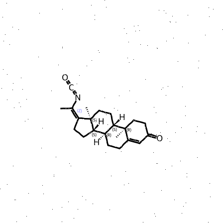 C/C(N=C=O)=C1\CC[C@H]2[C@@H]3CCC4=CC(=O)CC[C@]4(C)[C@H]3CC[C@]12C